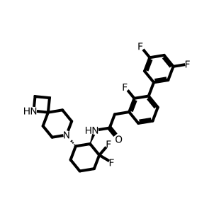 O=C(Cc1cccc(-c2cc(F)cc(F)c2)c1F)N[C@@H]1[C@@H](N2CCC3(CCN3)CC2)CCCC1(F)F